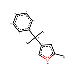 Cc1cc(C(C)(C)c2ccccc2)co1